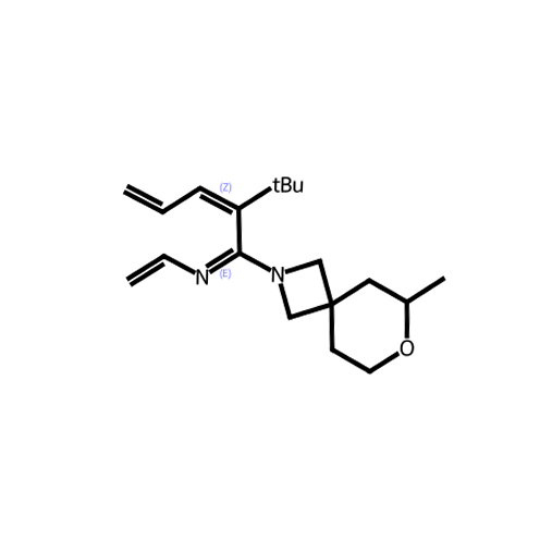 C=C/C=C(\C(=N/C=C)N1CC2(CCOC(C)C2)C1)C(C)(C)C